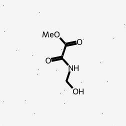 COC(=O)C(=O)NCO